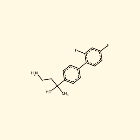 CC(O)(CCN)c1ccc(-c2ccc(F)cc2F)cc1